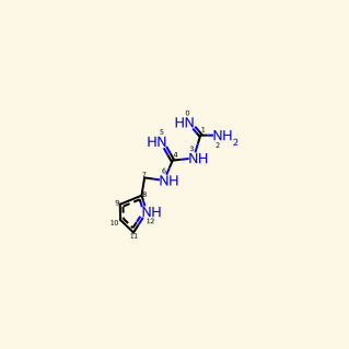 N=C(N)NC(=N)NCc1ccc[nH]1